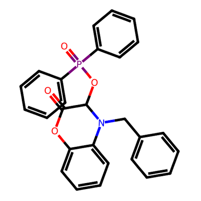 O=C1Oc2ccccc2N(Cc2ccccc2)C1OP(=O)(c1ccccc1)c1ccccc1